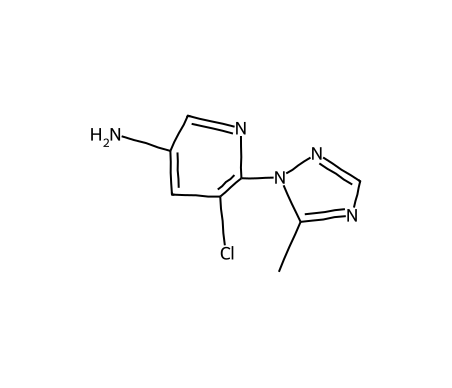 Cc1ncnn1-c1ncc(N)cc1Cl